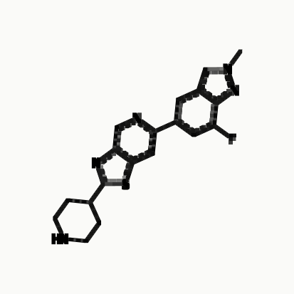 Cn1cc2cc(-c3cc4sc(C5CCNCC5)nc4cn3)cc(F)c2n1